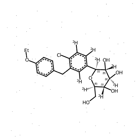 [2H]c1c([2H])c([C@]2([2H])O[C@]([2H])(CO)[C@@]([2H])(O)[C@]([2H])(O)[C@@]2([2H])O)c([2H])c(Cc2ccc(OCC)cc2)c1Cl